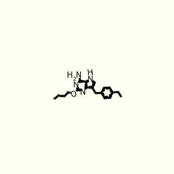 CCCCOc1nc(N)c2[nH]cc(Cc3ccc(CC)cc3)c2n1